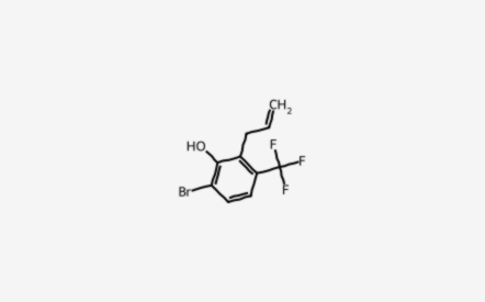 C=CCc1c(C(F)(F)F)ccc(Br)c1O